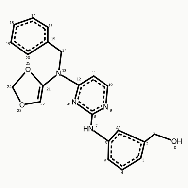 OCc1cccc(Nc2nccc(N(Cc3ccccc3)C3=COCO3)n2)c1